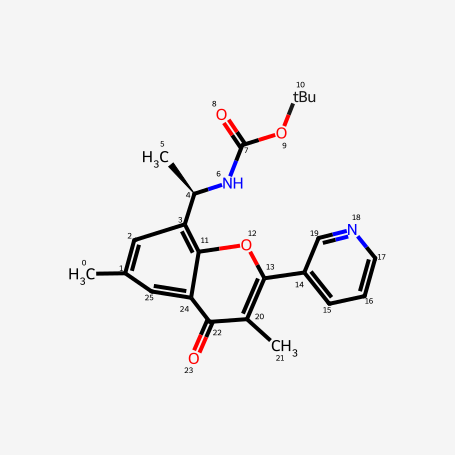 Cc1cc([C@@H](C)NC(=O)OC(C)(C)C)c2oc(-c3cccnc3)c(C)c(=O)c2c1